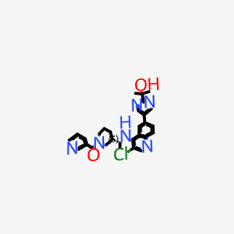 CC(Nc1c(Cl)cnc2ccc(-c3cnc(C(C)(C)O)nc3)cc12)[C@H]1CCCN(C(=O)c2cccnc2)C1